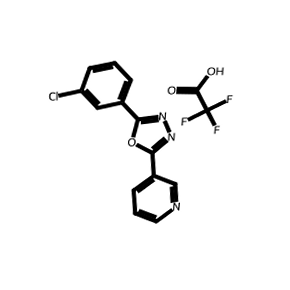 Clc1cccc(-c2nnc(-c3cccnc3)o2)c1.O=C(O)C(F)(F)F